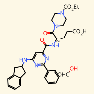 CCOC(=O)N1CCN(C(=O)[C@H](CCC(=O)O)NC(=O)c2cc(NC3Cc4ccccc4C3)nc(-c3ccccc3)n2)CC1.O=CO